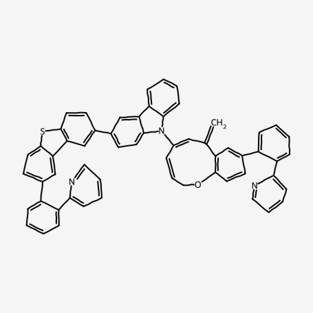 C=C1/C=C(n2c3ccccc3c3cc(-c4ccc5sc6ccc(-c7ccccc7-c7ccccn7)cc6c5c4)ccc32)\C=C/COc2ccc(-c3ccccc3-c3ccccn3)cc21